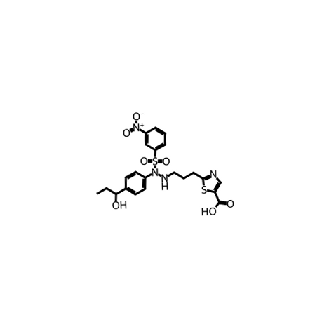 CCC(O)c1ccc(N(NCCCc2ncc(C(=O)O)s2)S(=O)(=O)c2cccc([N+](=O)[O-])c2)cc1